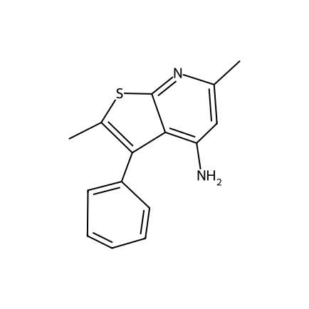 Cc1cc(N)c2c(-c3ccccc3)c(C)sc2n1